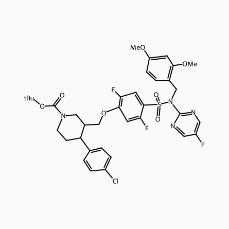 COc1ccc(CN(c2ncc(F)cn2)S(=O)(=O)c2cc(F)c(OCC3CN(C(=O)OC(C)(C)C)CCC3c3ccc(Cl)cc3)cc2F)c(OC)c1